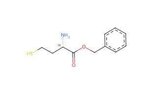 N[C@@H](CCS)C(=O)OCc1ccccc1